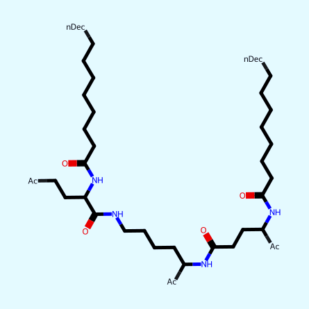 CCCCCCCCCCCCCCCCCC(=O)NC(CCC(=O)NC(CCCCNC(=O)C(CCC(C)=O)NC(=O)CCCCCCCCCCCCCCCCC)C(C)=O)C(C)=O